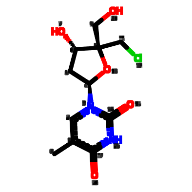 Cc1cn([C@H]2C[C@H](O)[C@](CO)(CCl)O2)c(=O)[nH]c1=O